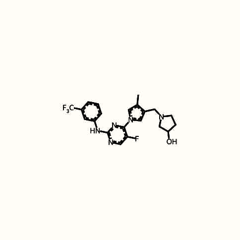 Cc1cn(-c2nc(Nc3cccc(C(F)(F)F)c3)ncc2F)cc1CN1CCC(O)C1